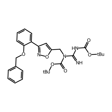 CC(C)(C)OC(=O)NC(=N)N(Cc1cc(-c2ccccc2OCc2ccccc2)no1)C(=O)OC(C)(C)C